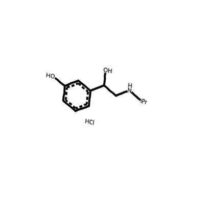 CC(C)NCC(O)c1cccc(O)c1.Cl